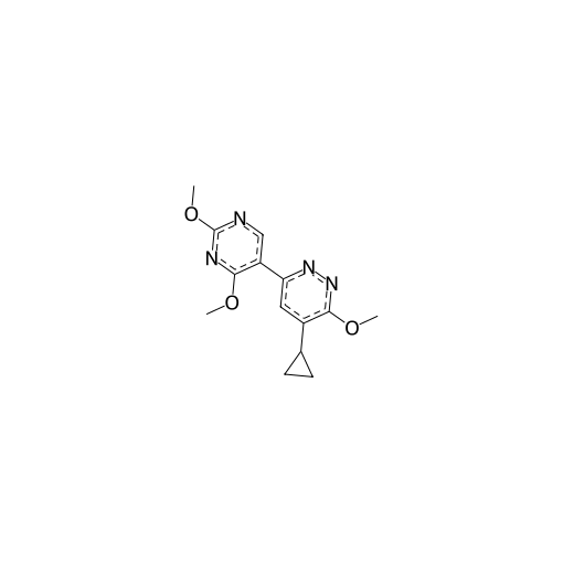 COc1ncc(-c2cc(C3CC3)c(OC)nn2)c(OC)n1